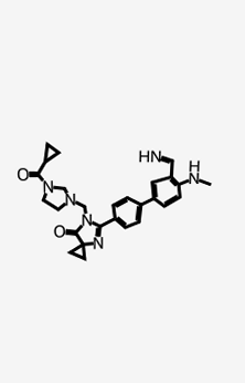 CNc1ccc(-c2ccc(C3=NC4(CC4)C(=O)N3CN3CCN(C(=O)C4CC4)C3)cc2)cc1C=N